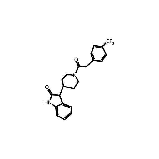 O=C1Nc2ccccc2C1C1CCN(C(=O)Cc2ccc(C(F)(F)F)cc2)CC1